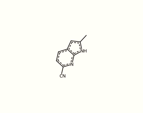 Cc1cc2ccc(C#N)nc2[nH]1